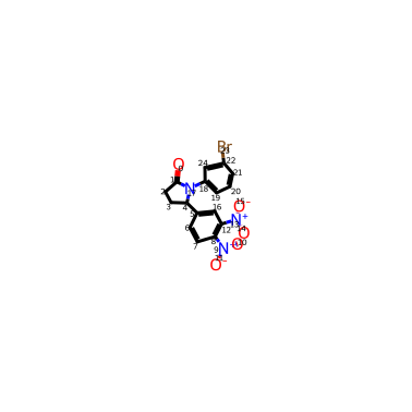 O=C1CCC(c2ccc([N+](=O)[O-])c([N+](=O)[O-])c2)N1c1cccc(Br)c1